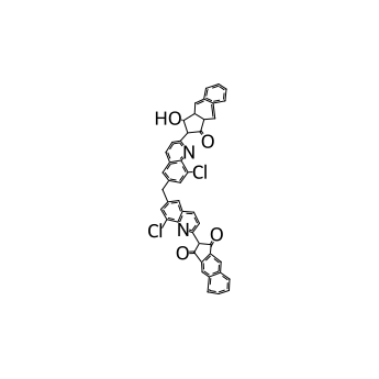 O=C1c2cc3ccccc3cc2C(=O)C1c1ccc2cc(Cc3cc(Cl)c4nc(C5C(=O)C6C=c7ccccc7=CC6[C@H]5O)ccc4c3)cc(Cl)c2n1